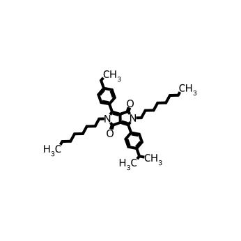 CCCCCCCCN1C(=O)C2=C(c3ccc(C(C)C)cc3)N(CCCCCCCC)C(=O)C2=C1c1ccc(CC)cc1